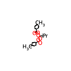 [CH2]C(C)[C](OOC(=O)c1ccc(C)cc1)OOC(=O)c1ccc(C)cc1